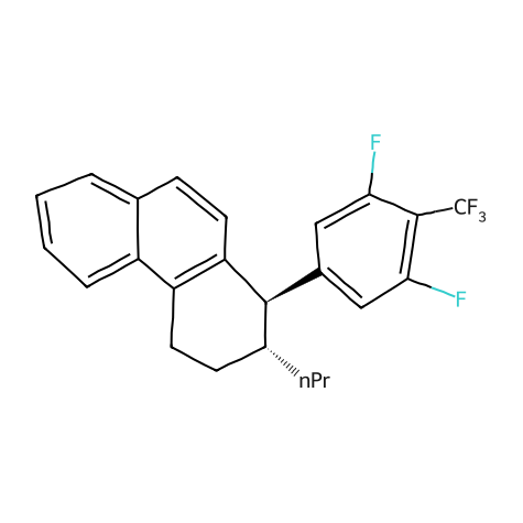 CCC[C@@H]1CCc2c(ccc3ccccc23)[C@H]1c1cc(F)c(C(F)(F)F)c(F)c1